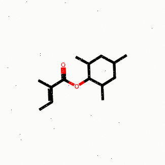 CC=C(C)C(=O)OC1C(C)CC(C)CC1C